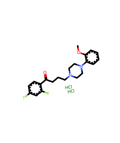 COc1ccccc1N1CCN(CCCC(=O)c2ccc(F)cc2F)CC1.Cl.Cl